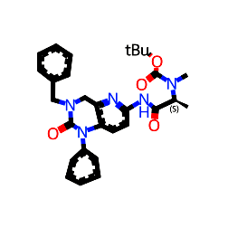 C[C@@H](C(=O)Nc1ccc2c(n1)CN(Cc1ccccc1)C(=O)N2c1ccccc1)N(C)C(=O)OC(C)(C)C